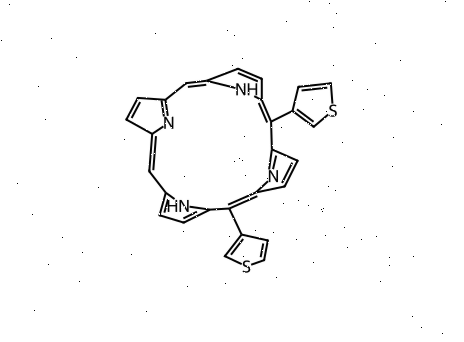 C1=Cc2cc3ccc([nH]3)c(-c3ccsc3)c3nc(c(-c4ccsc4)c4ccc(cc1n2)[nH]4)C=C3